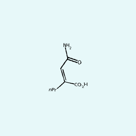 CCCC(=CC(N)=O)C(=O)O